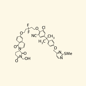 CSc1nccc(COc2ccc(C(C)(C)c3cc(Cl)c(OCCC(F)(F)CCOc4ccc5c(=O)n(C6CCC(=O)N(CO)C6=O)ccc5c4)c(C#N)c3)cc2)n1